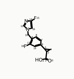 O=C(O)C1CC1c1ccc(Cn2cnc(F)c2)c(F)c1